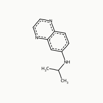 CC(C)Nc1ccc2nccnc2c1